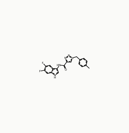 Cc1ccc(Cn2cc(C(=O)Nc3c[nH]c4cc(F)c(F)cc34)nn2)cc1